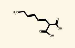 CCC=CC=CC(C(=O)O)C(=O)O